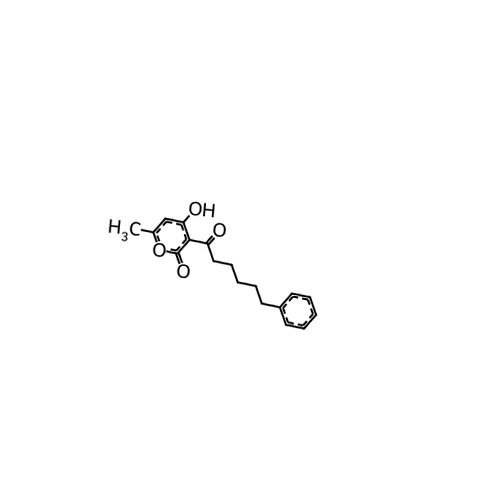 Cc1cc(O)c(C(=O)CCCCCc2ccccc2)c(=O)o1